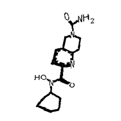 NC(=O)N1CCc2nc(C(=O)N(O)C3CCCCC3)ccc2C1